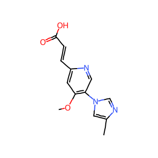 COc1cc(/C=C/C(=O)O)ncc1-n1cnc(C)c1